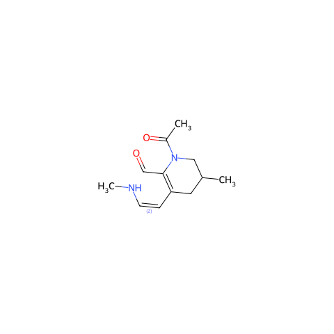 CN/C=C\C1=C(C=O)N(C(C)=O)CC(C)C1